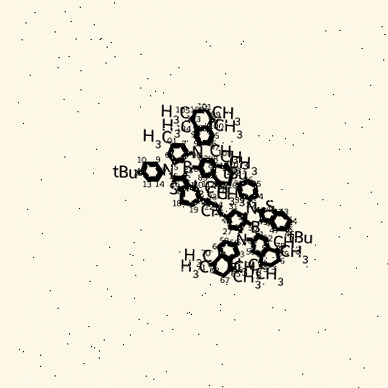 Cc1cc2c3c(c1)N(c1ccc(C(C)(C)C)cc1)c1sc4ccc(C(C)(C)CCc5cc6c7c(c5)N(c5ccc(C(C)(C)C)cc5)c5sc8ccc(C(C)(C)C)cc8c5B7c5cc7c(cc5N6c5ccc6c(c5)C(C)(C)CCC6(C)C)C(C)(C)CCC7(C)C)cc4c1B3c1cc3c(cc1N2c1cc2c(cc1C)C(C)(C)CCC2(C)C)C(C)(C)CCC3(C)C